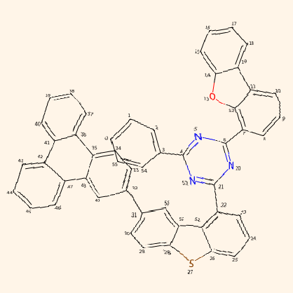 c1ccc(-c2nc(-c3cccc4c3oc3ccccc34)nc(-c3cccc4sc5ccc(-c6ccc7c8ccccc8c8ccccc8c7c6)cc5c34)n2)cc1